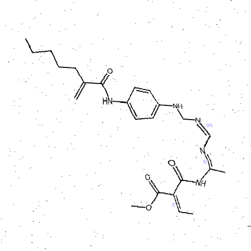 C=C(CCCCC)C(=O)Nc1ccc(NC/N=C\N=C(/C)NC(=O)/C(=C\C)C(=O)OC)cc1